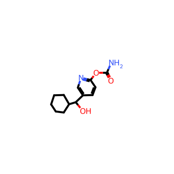 NC(=O)Oc1ccc(C(O)C2CCCCC2)cn1